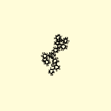 c1ccc(-c2cccc3c2oc2cc(-c4nc(-c5ccc(-n6c7ccccc7c7c6ccc6c8ccccc8n(-c8ccccc8)c67)cc5)nc(-c5cccc6sc7ccccc7c56)n4)ccc23)cc1